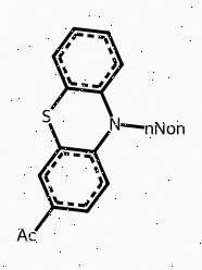 CCCCCCCCCN1c2ccccc2Sc2cc(C(C)=O)ccc21